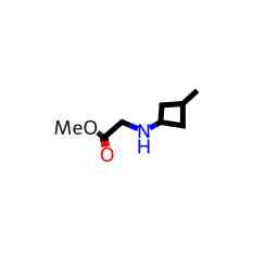 COC(=O)CNC1CC(C)C1